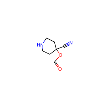 N#CC1(OC=O)CCNCC1